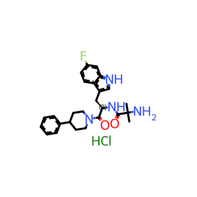 CC(C)(N)C(=O)N[C@H](Cc1c[nH]c2cc(F)ccc12)C(=O)N1CCC(c2ccccc2)CC1.Cl